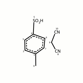 Cc1ccc(S(=O)(=O)O)cc1.N#CCC#N